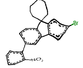 O=[N+]([O-])c1ccccc1-c1ccc2c(c1)-c1ccc(Br)cc1C21CCCCC1